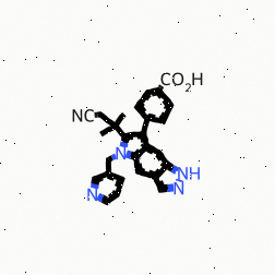 CC(C)(CC#N)c1c(-c2ccc(C(=O)O)cc2)c2cc3[nH]ncc3cc2n1Cc1cccnc1